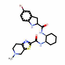 CN1CCc2nc(C(=O)N[C@@H]3CCCC[C@@H]3NC(=O)C3Cc4cc(Br)ccc4N3)sc2C1